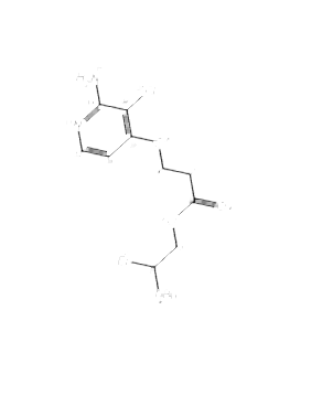 CCCCC(CC)COC(=O)CCSc1ccnc(N)c1Cl